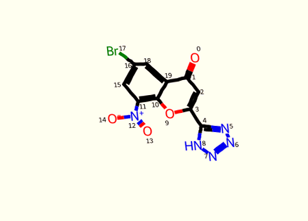 O=c1cc(-c2nnn[nH]2)oc2c([N+](=O)[O-])cc(Br)cc12